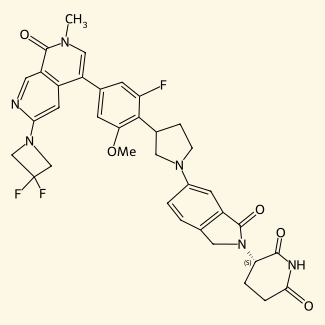 COc1cc(-c2cn(C)c(=O)c3cnc(N4CC(F)(F)C4)cc23)cc(F)c1C1CCN(c2ccc3c(c2)C(=O)N([C@H]2CCC(=O)NC2=O)C3)C1